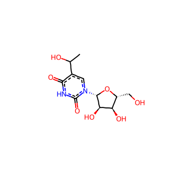 CC(O)c1cn([C@@H]2O[C@H](CO)[C@@H](O)[C@H]2O)c(=O)[nH]c1=O